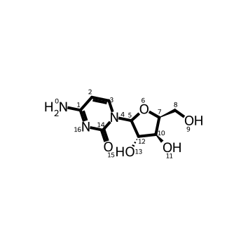 Nc1ccn(C2O[C@@H](CO)[C@@H](O)[C@@H]2O)c(=O)n1